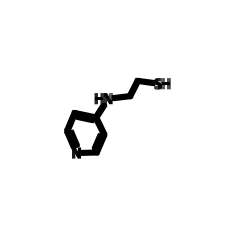 SCCNc1ccncc1